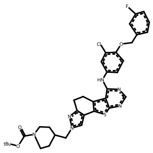 CC(C)(C)OC(=O)N1CCC(Cn2cc3c(n2)CCc2c-3sc3ncnc(Nc4ccc(OCc5cccc(F)c5)c(Cl)c4)c23)CC1